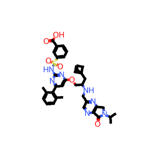 Cc1cccc(C)c1-c1cc(OCC(CC23CC(C2)C3)NCc2cnc3c(n2)CN(C(C)C)C3=O)nc(NS(=O)(=O)c2cccc(C(=O)O)c2)n1